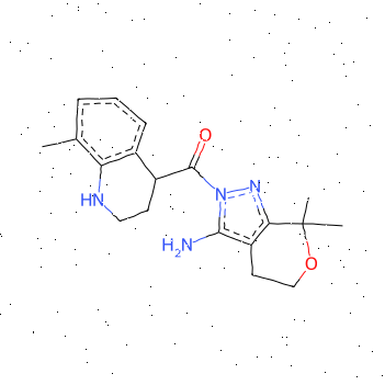 Cc1cccc2c1NCCC2C(=O)n1nc2c(c1N)CCOC2(C)C